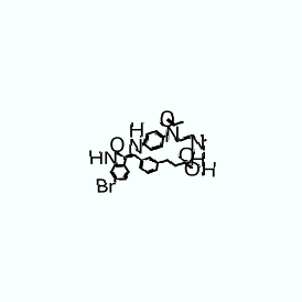 CNCCN(C(C)=O)c1ccc(N/C(=C2\C(=O)Nc3cc(Br)ccc32)c2cccc(CCC(=O)O)c2)cc1